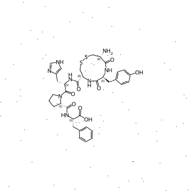 N[C@H]1CSSC[C@@H](C(=O)N[C@@H](Cc2c[nH]cn2)C(=O)N2CCC[C@H]2C(=O)N[C@@H](Cc2ccccc2)C(=O)O)NC(=O)[C@H](Cc2ccc(O)cc2)NC1=O